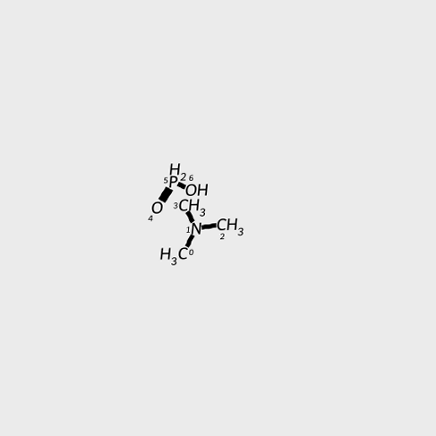 CN(C)C.O=[PH2]O